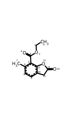 CCOC(=O)c1c(C)ccc2c1OC(=O)C2